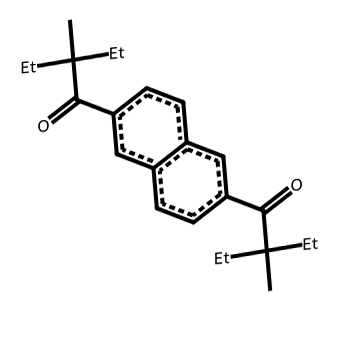 CCC(C)(CC)C(=O)c1ccc2cc(C(=O)C(C)(CC)CC)ccc2c1